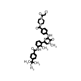 Cc1c(NC(=O)c2ccc(C(C)(C)C)cc2)cccc1-c1cn(C)c(=O)c(Nc2ccc(C(=O)N3CCN(C(=O)CCl)CC3)cc2)n1